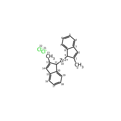 CC1=Cc2ccccc2[CH]1[Zr+2][CH]1C(C)=Cc2ccccc21.[Cl-].[Cl-]